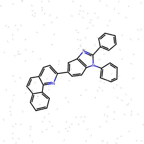 c1ccc(-c2nc3cc(-c4ccc5ccc6ccccc6c5n4)ccc3n2-c2ccccc2)cc1